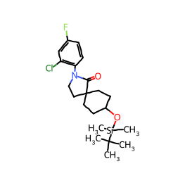 CC(C)(C)[Si](C)(C)OC1CCC2(CC1)CCN(c1ccc(F)cc1Cl)C2=O